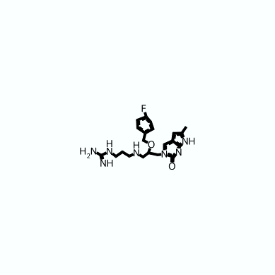 Cc1cc2cn(CC(CNCCCNC(=N)N)OCc3ccc(F)cc3)c(=O)nc2[nH]1